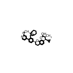 COc1cc(-c2ccc([C@@H]3CCc4ccc([C@H](C5CC5)[C@H](C)C(=O)O)cc4O3)cc2CN2C3CCCC2CC3)ccn1